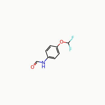 O=CNc1ccc(OC(F)F)cc1